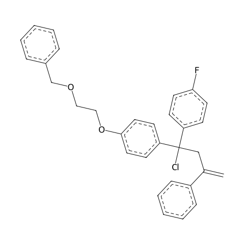 C=C(CC(Cl)(c1ccc(F)cc1)c1ccc(OCCOCc2ccccc2)cc1)c1ccccc1